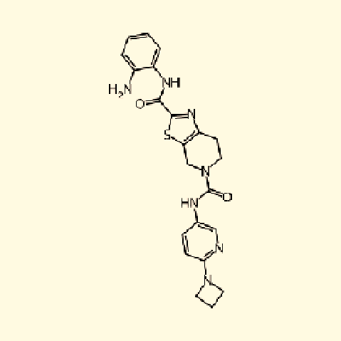 Nc1ccccc1NC(=O)c1nc2c(s1)CN(C(=O)Nc1ccc(N3CCC3)nc1)CC2